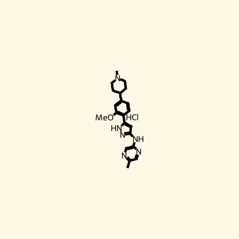 COc1cc(C2CCN(C)CC2)ccc1-c1cc(Nc2cnc(C)cn2)n[nH]1.Cl